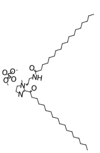 CCCCCCCCCCCCCCCCCC(=O)NCC[N+]1(C)CCN=C1C(=O)CCCCCCCCCCCCCCCCC.COS(=O)(=O)[O-]